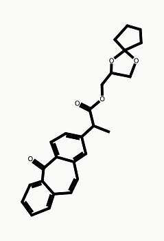 CC(C(=O)OCC1COC2(CCCC2)O1)c1ccc2c(=O)c3ccccc3ccc2c1